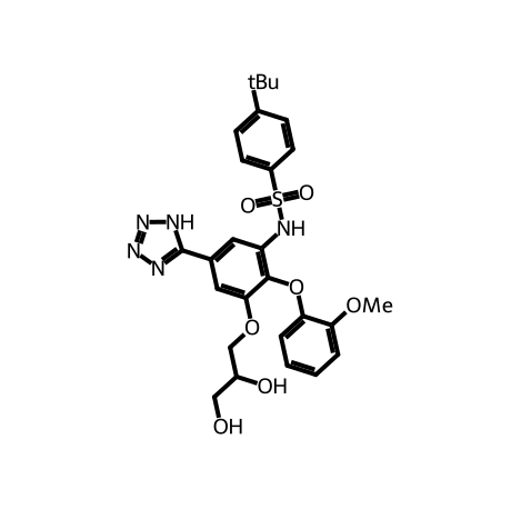 COc1ccccc1Oc1c(NS(=O)(=O)c2ccc(C(C)(C)C)cc2)cc(-c2nnn[nH]2)cc1OCC(O)CO